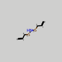 C=CCSNSCC=C